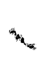 O=C(C=Cc1ccc(OC(=O)c2ccc(OCCCC(F)(F)C(F)(F)F)cc2F)cc1)OCCc1ccc([N+](=O)[O-])cc1[N+](=O)[O-]